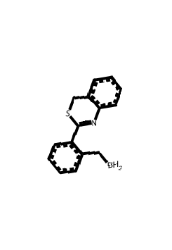 BCc1ccccc1C1=Nc2ccccc2CS1